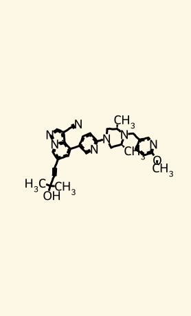 COc1ccc(CN2[C@H](C)CN(c3ccc(-c4cc(C#CC(C)(C)O)cn5ncc(C#N)c45)cn3)C[C@@H]2C)cn1